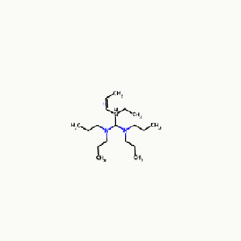 C/C=C\[SiH](CC)C(N(CCC)CCC)N(CCC)CCC